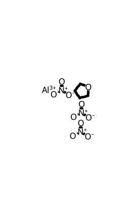 C1CCOC1.O=[N+]([O-])[O-].O=[N+]([O-])[O-].O=[N+]([O-])[O-].[Al+3]